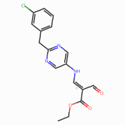 CCOC(=O)/C(C=O)=C/Nc1cnc(Cc2cccc(Cl)c2)nc1